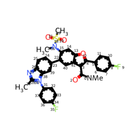 CNC(=O)c1c(-c2ccc(F)cc2)oc2cc(N(C)S(C)(=O)=O)c(-c3ccc4nc(C)n(-c5ccc(F)cc5)c4c3)cc12